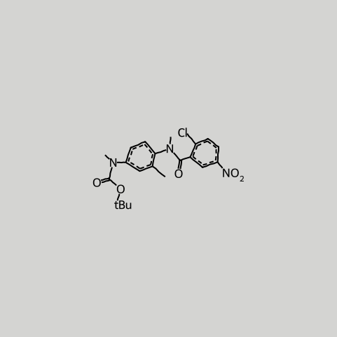 Cc1cc(N(C)C(=O)OC(C)(C)C)ccc1N(C)C(=O)c1cc([N+](=O)[O-])ccc1Cl